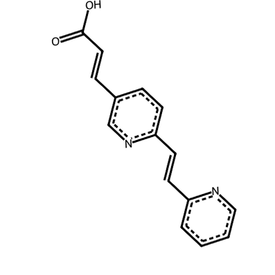 O=C(O)C=Cc1ccc(/C=C/c2ccccn2)nc1